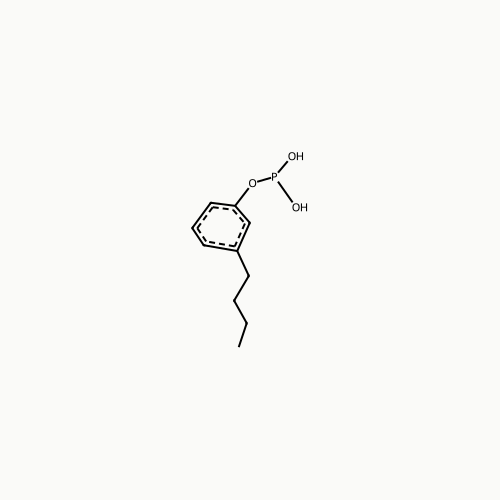 CCCCc1cccc(OP(O)O)c1